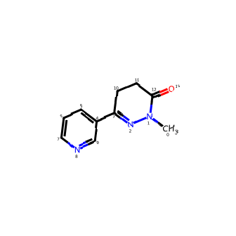 CN1N=C(c2cccnc2)CCC1=O